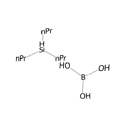 CCC[SiH](CCC)CCC.OB(O)O